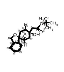 CC(C)(C)OC(=O)C[C@]1(O)C[C@H]2CC[C@@H]1C[C@@]21OCc2ccccc21